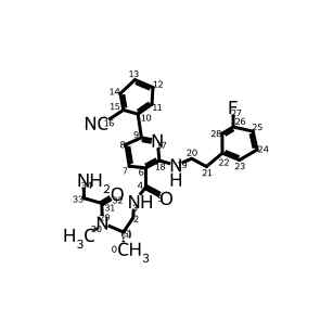 C[C@@H](CNC(=O)c1ccc(-c2ccccc2C#N)nc1NCCc1cccc(F)c1)N(C)C(=O)CN